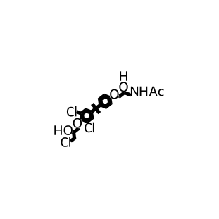 CC(=O)NCC(O)COc1ccc(C(C)(C)c2cc(Cl)c(OCC(O)CCl)c(Cl)c2)cc1